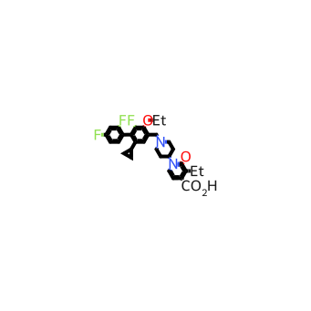 CCOc1c(CN2CCC(n3ccc(C(=O)O)c(CC)c3=O)CC2)cc(C2CC2)c(-c2ccc(F)cc2F)c1F